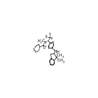 CN(C(=O)C1CCSCC1)[C@@H](c1ccc(NC2Cc3ccccc3C2(C)C)cn1)C(F)(F)F